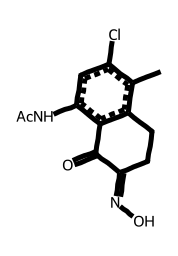 CC(=O)Nc1cc(Cl)c(C)c2c1C(=O)C(=NO)CC2